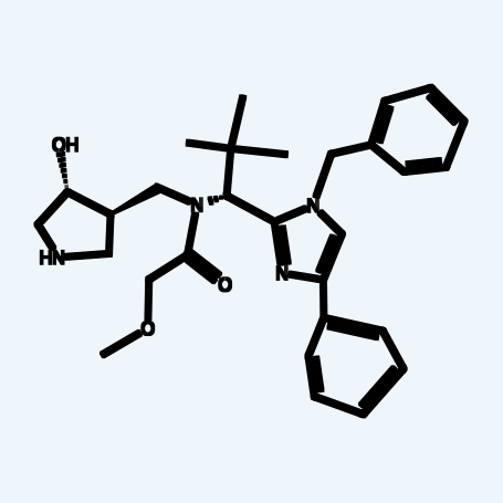 COCC(=O)N(C[C@H]1CNC[C@@H]1O)[C@@H](c1nc(-c2ccccc2)cn1Cc1ccccc1)C(C)(C)C